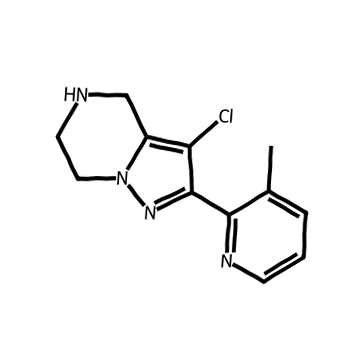 Cc1cccnc1-c1nn2c(c1Cl)CNCC2